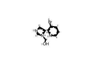 Brc1cccnc1.OCn1ccnc1